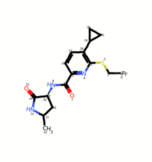 CC(C)CSc1nc(C(=O)N[C@H]2CC(C)NC2=O)ccc1C1CC1